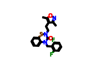 Cc1noc(C)c1CCN1Sc2ccccc2N(Cc2c(F)cccc2F)C1=O